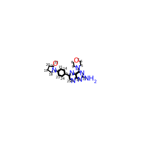 Nc1nc(N2CCOCC2)c2nc(-c3ccc(N4CCCC4=O)cc3)cnc2n1